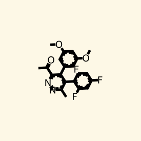 COc1cc(OC)cc(-c2c(C(C)=O)nnc(C)c2-c2c(F)cc(F)cc2F)c1